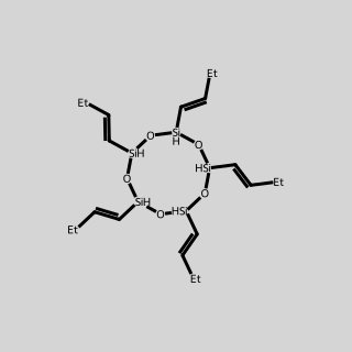 CCC=C[SiH]1O[SiH](C=CCC)O[SiH](C=CCC)O[SiH](C=CCC)O[SiH](C=CCC)O1